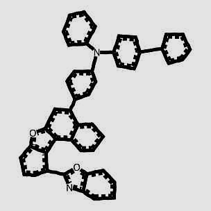 c1ccc(-c2ccc(N(c3ccccc3)c3ccc(-c4cc5oc6cccc(-c7nc8ccccc8o7)c6c5c5ccccc45)cc3)cc2)cc1